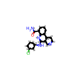 NC(=O)c1cccc2c1nc(Nc1cccc(Cl)c1)c1cnccc12